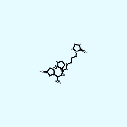 CC(CCCCCCCN1CCCC1=O)C1CC(=O)CN1N1CCCC1=O